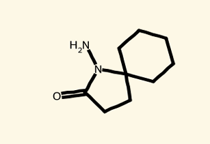 NN1C(=O)CCC12CCCCC2